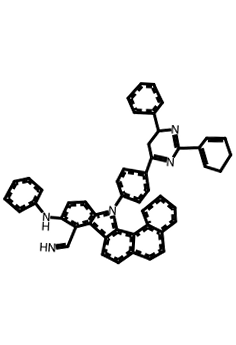 N=Cc1c(Nc2ccccc2)ccc2c1c1ccc3ccc4ccccc4c3c1n2-c1ccc(C2=NC(C3=CCCC=C3)=NC(c3ccccc3)C2)cc1